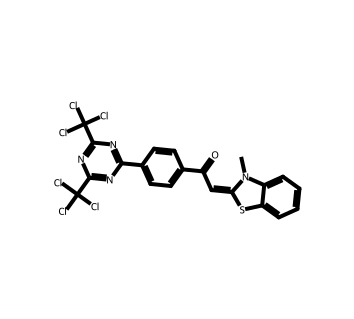 CN1C(=CC(=O)c2ccc(-c3nc(C(Cl)(Cl)Cl)nc(C(Cl)(Cl)Cl)n3)cc2)Sc2ccccc21